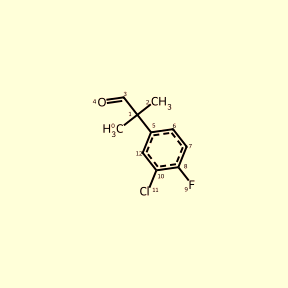 CC(C)(C=O)c1ccc(F)c(Cl)c1